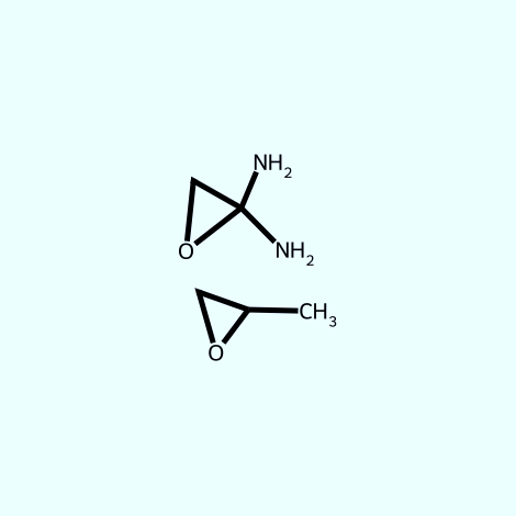 CC1CO1.NC1(N)CO1